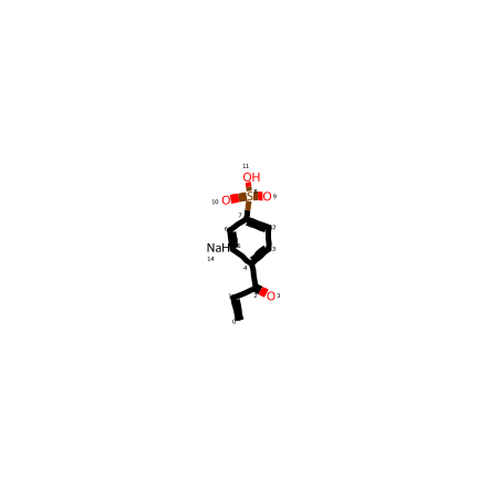 C=CC(=O)c1ccc(S(=O)(=O)O)cc1.[NaH]